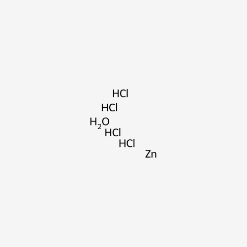 Cl.Cl.Cl.Cl.O.[Zn]